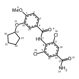 COc1ccc(C(=O)Nc2c(Cl)cc(C(N)=O)cc2Cl)cc1OC1CCCC1